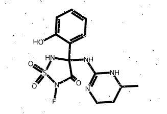 CC1CCN=C(NC2(c3ccccc3O)NS(=O)(=O)N(F)C2=O)N1